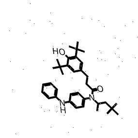 CC(CC(C)(C)C)N(C(=O)CCc1cc(C(C)(C)C)c(O)c(C(C)(C)C)c1)c1ccc(Nc2ccccc2)cc1